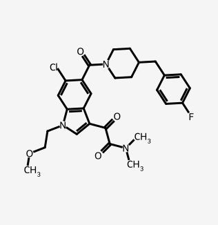 COCCn1cc(C(=O)C(=O)N(C)C)c2cc(C(=O)N3CCC(Cc4ccc(F)cc4)CC3)c(Cl)cc21